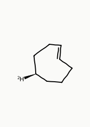 [2H][C@H]1CC/C=C/CCC1